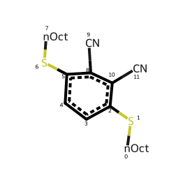 CCCCCCCCSc1ccc(SCCCCCCCC)c(C#N)c1C#N